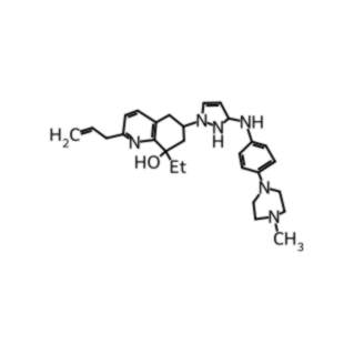 C=CCc1ccc2c(n1)C(O)(CC)CC(N1C=CC(Nc3ccc(N4CCN(C)CC4)cc3)N1)C2